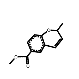 COC(=O)c1ccc2c(c1)C=CC(C)O2